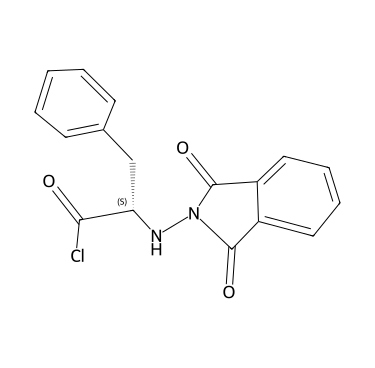 O=C(Cl)[C@H](Cc1ccccc1)NN1C(=O)c2ccccc2C1=O